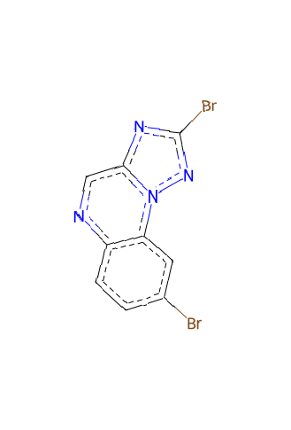 Brc1ccc2ncc3nc(Br)nn3c2c1